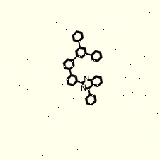 c1ccc(-c2cc(-c3ccccc3)cc(-c3cccc(-c4cccc(-c5nc(-c6ccccc6)c6ccccc6n5)c4)c3)c2)cc1